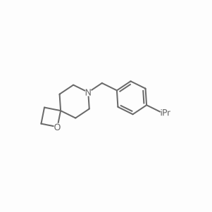 CC(C)c1ccc(CN2CCC3(CCO3)CC2)cc1